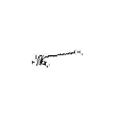 CCC=CCC=CCC=CCC=CCC=CCC=CCCCOC(C)C(=O)OC(C)(C)C